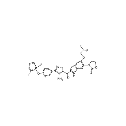 Nc1c(C(=O)c2cc3cc(OCC(F)F)c(N4CCOC4=O)cc3[nH]2)cnn1-c1ccc(Oc2c(F)cccc2F)nc1